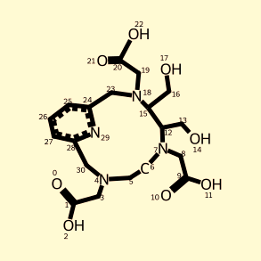 O=C(O)CN1CCN(CC(=O)O)C(CO)C(CO)N(CC(=O)O)Cc2cccc(n2)C1